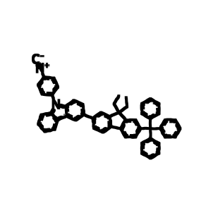 [C-]#[N+]c1ccc(-n2c3ccccc3c3cc(-c4ccc5c(c4)C(CC)(CC)c4cc(C(c6ccccc6)(c6ccccc6)c6ccccc6)ccc4-5)ccc32)cc1